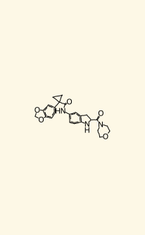 O=C(C1Cc2cc(NC(=O)C3(c4ccc5c(c4)OCO5)CC3)ccc2N1)N1CCOCC1